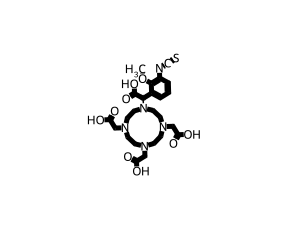 COc1c(N=C=S)cccc1[C@@H](C(=O)O)N1CCN(CC(=O)O)CCN(CC(=O)O)CCN(CC(=O)O)CC1